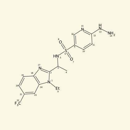 CCn1c(C(C)NS(=O)(=O)c2ccc(NN)nc2)nc2ccc(C(F)(F)F)cc21